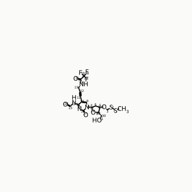 CSSCO[C@@H]1C[C@H](n2cc(C#CCNC(=O)C(F)(F)F)c(NC=O)nc2=O)O[C@@H]1CO